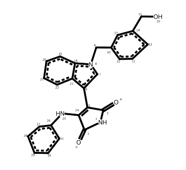 O=C1NC(=O)C(c2cn(Cc3cccc(CO)c3)c3ccccc23)=C1Nc1ccccc1